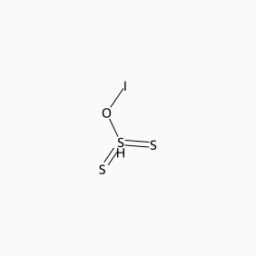 S=[SH](=S)OI